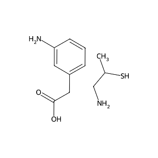 CC(S)CN.Nc1cccc(CC(=O)O)c1